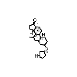 C=C1CC2CC(S[C@H]3CCNC3)CC[C@]2(C)[C@@H]2CC[C@]3(C)C(=O)CC[C@H]3[C@H]12